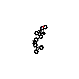 C=C/C=C\C1=C(C)C2(c3ccccc3-c3c(-c4ccc5oc6ccc(N(c7ccccc7)c7ccccc7)cc6c5c4)cccc32)c2ccccc2N1c1ccccc1